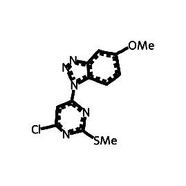 COc1ccc2c(c1)nnn2-c1cc(Cl)nc(SC)n1